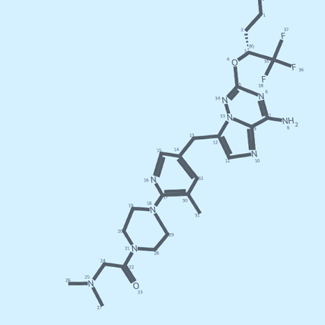 CCC[C@@H](Oc1nc(N)c2ncc(Cc3cnc(N4CCN(C(=O)CN(C)C)CC4)c(C)c3)n2n1)C(F)(F)F